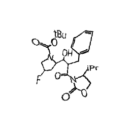 CC(C)C1COC(=O)N1C(=O)C(Cc1ccccc1)C(O)C1CC(F)CN1C(=O)OC(C)(C)C